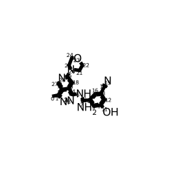 Cc1nnc(N[C@H](N)c2cc(O)cc(C#N)c2)c2cc(N3CCOCC3)ncc12